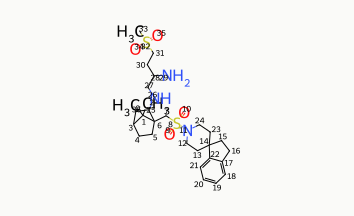 CC1(C)C2CCC1(CS(=O)(=O)N1CCC3(CCc4ccccc43)CC1)C(NCC(N)CCS(C)(=O)=O)C2